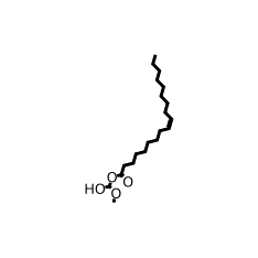 CCCCCCCC/C=C\CCCCCCCC(=O)OC(O)OC